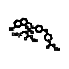 CCOC(=O)CN(C(=O)OC(C)(C)C)S(=O)(=O)N(Cc1ccc2ccc(C#N)cc2c1)c1ccc(OC2CCN(C(=O)OC(C)(C)C)CC2)cc1